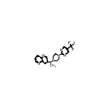 C[C@@H](c1cnc2cccnc2c1)N1CCN(c2ncc(C(F)(F)F)cn2)CC1